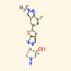 Cn1cc2cc(-c3cc4cn([C@H]5CCNC[C@@H]5O)nc4s3)cc(F)c2n1